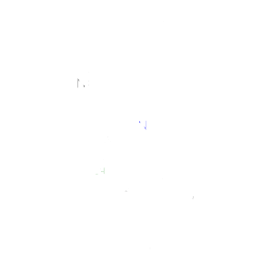 CN(Cc1ccccc1Br)c1ccccc1C#N